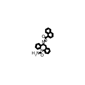 NC(=O)N1c2ccccc2CC(=NOC(=O)c2cccc3ccccc23)c2ccccc21